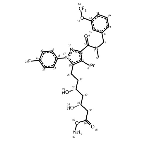 CC(C)c1c(C(=O)N(C)Cc2cccc(OC(F)(F)F)c2)nn(-c2ccc(F)cc2)c1CC[C@@H](O)C[C@@H](O)CC(=O)ON